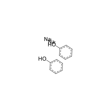 Oc1ccccc1.Oc1ccccc1.[Na].[Na]